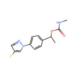 CNC(=O)OC(C)c1ccc(-n2cc(F)cn2)cc1